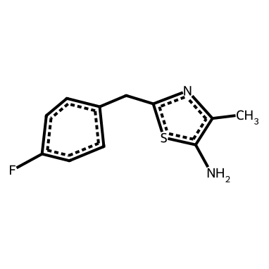 Cc1nc(Cc2ccc(F)cc2)sc1N